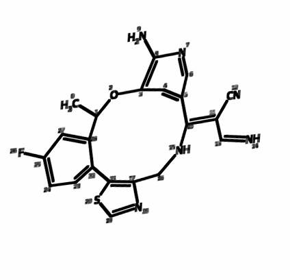 CC1Oc2cc(cnc2N)/C(=C(\C#N)C=N)NCc2ncsc2-c2ccc(F)cc21